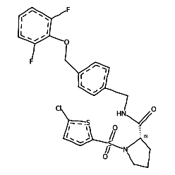 O=C(NCc1ccc(COc2c(F)cccc2F)cc1)[C@@H]1CCCN1S(=O)(=O)c1ccc(Cl)s1